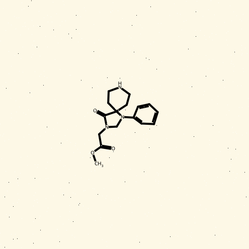 COC(=O)CN1CN(c2ccccc2)C2(CCNCC2)C1=O